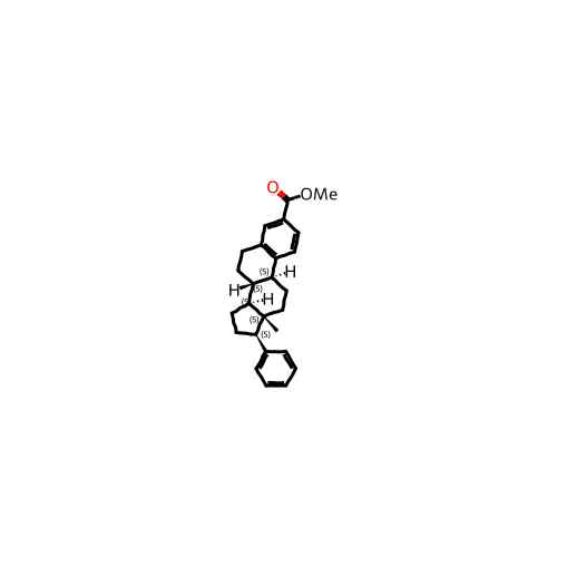 COC(=O)c1ccc2c(c1)CC[C@@H]1[C@@H]2CC[C@]2(C)[C@@H](c3ccccc3)CC[C@@H]12